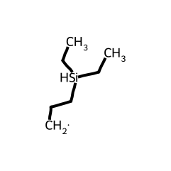 [CH2]CC[SiH](CC)CC